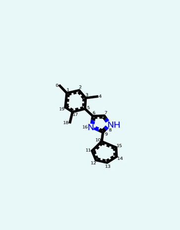 Cc1cc(C)c(-c2c[nH]c(-c3ccccc3)n2)c(C)c1